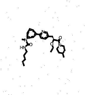 CCCCCNC(=O)N(C)c1cccc(-c2ccc(C[C@H](OCC)C(=O)N3CCC(C)CC3)cn2)c1